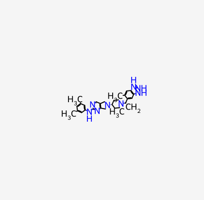 C=C(c1cc2c(cc1C)NNN2)N1CC[C@@H](N2Cc3cnc(Nc4cc(C)cc(C)c4)nc3C2)C[C@H]1C